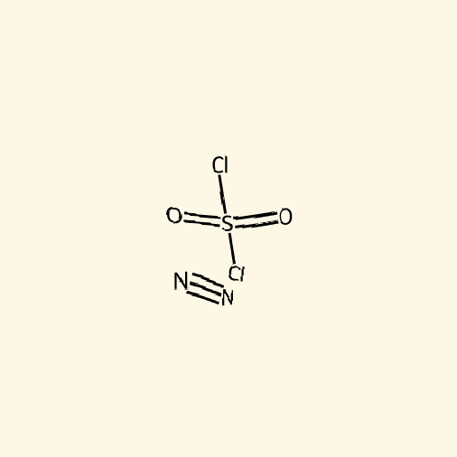 N#N.O=S(=O)(Cl)Cl